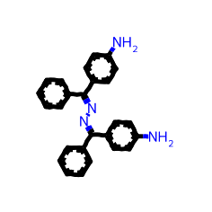 Nc1ccc(C(=NN=C(c2ccccc2)c2ccc(N)cc2)c2ccccc2)cc1